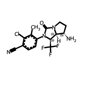 Cc1c(N2C(=O)N3CC[C@H](N)[C@H]3[C@H]2C(F)(F)F)ccc(C#N)c1Cl